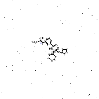 C/C(=C\c1cccc(C(=O)N[C@H](C(=O)OC2CCCC2)C2CCCCC2)c1)C(=O)O